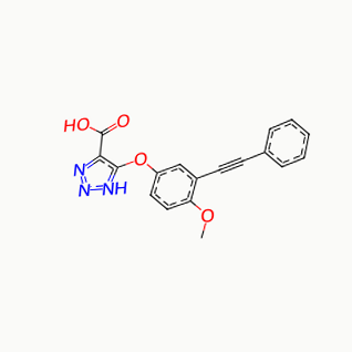 COc1ccc(Oc2[nH]nnc2C(=O)O)cc1C#Cc1ccccc1